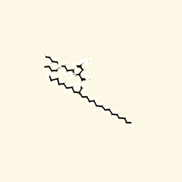 CCCCCCCCCCCCCCC(CCCCCCCC)COC(=O)C(CC(=O)O)NCCCN(CCCC)CCCC